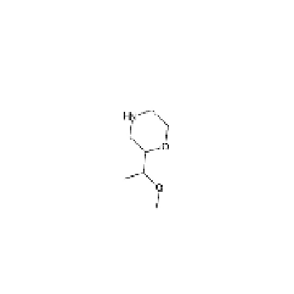 COC(C)C1CNCCO1